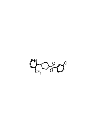 O=S(=O)(c1cccc(Cl)c1)C1CCN(c2ncccc2C(F)(F)F)CC1